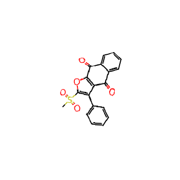 CS(=O)(=O)c1oc2c(c1-c1ccccc1)C(=O)c1ccccc1C2=O